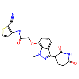 Cn1nc(C2CCC(=O)NC2=O)c2cccc(OCC(=O)Nc3ccsc3C#N)c21